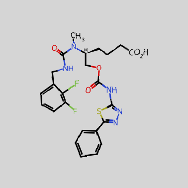 CN(C(=O)NCc1cccc(F)c1F)[C@@H](CCCC(=O)O)COC(=O)Nc1nnc(-c2ccccc2)s1